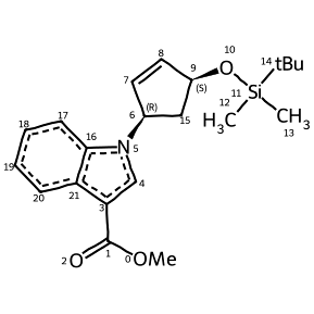 COC(=O)c1cn([C@H]2C=C[C@@H](O[Si](C)(C)C(C)(C)C)C2)c2ccccc12